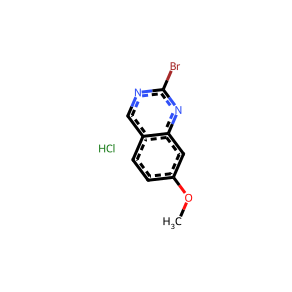 COc1ccc2cnc(Br)nc2c1.Cl